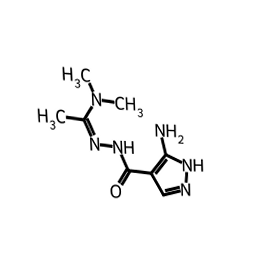 CC(=NNC(=O)c1cn[nH]c1N)N(C)C